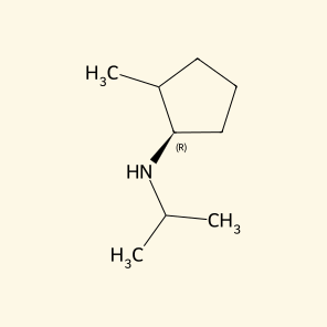 CC(C)N[C@@H]1CCCC1C